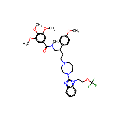 COc1ccc(C(CCN2CCCN(c3nc4ccccc4n3CCOC(F)(F)F)CC2)CN(C)C(=O)c2cc(OC)c(OC)c(OC)c2)cc1